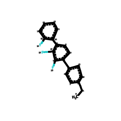 CCc1ccc(-c2ccc(-c3ccccc3F)c(F)c2F)cc1